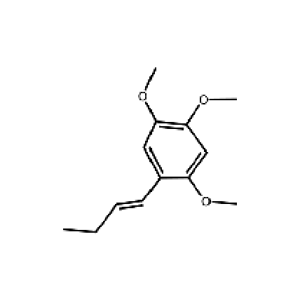 CC/C=C/c1cc(OC)c(OC)cc1OC